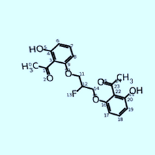 CC(=O)c1c(O)cccc1OCC(F)COc1cccc(O)c1C(C)=O